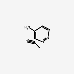 CC#N.Nc1ccnnc1